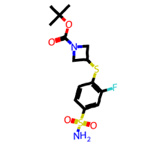 CC(C)(C)OC(=O)N1CC(Sc2ccc(S(N)(=O)=O)cc2F)C1